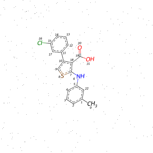 Cc1cccc(Nc2scc(-c3cccc(Cl)c3)c2C(=O)O)c1